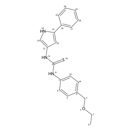 CCOCc1ccc(NC(=S)Nc2c[nH]c(-c3ccccc3)c2)cc1